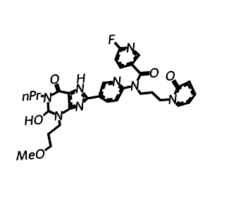 CCCN1C(=O)c2[nH]c(-c3ccc(N(CCCn4ccccc4=O)C(=O)c4ccc(F)nc4)nc3)nc2N(CCCOC)C1O